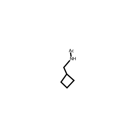 CC(=O)NCC1CCC1